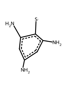 Nc1cc(N)c([S])c(N)c1